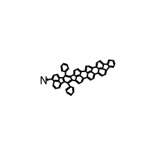 N#Cc1ccc2c3c(-c4ccccc4)c4c5ccc6c7ccc8c9ccc%10c%11c(ccc(c%12ccc(c%13ccc(c4c(-c4ccccc4)c3c3cccc1c32)c5c%136)c7c%128)c%119)-c1ccccc1-%10